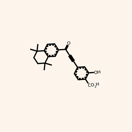 CC1(C)CCC(C)(C)c2cc(C(=O)C#Cc3ccc(C(=O)O)c(O)c3)ccc21